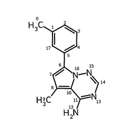 Cc1cccc(-c2cc(C)c3c(N)ncnn23)c1